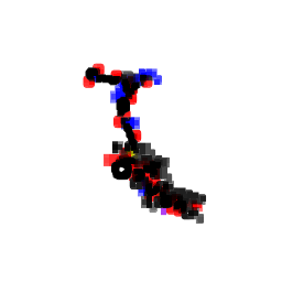 CCC(C)[C@H](NC(=O)CCCCCN1C(=O)C=CC1=O)C(=O)C[C@@H](CCCNC(N)=O)C(=O)Nc1ccc(COC(=O)NCCCC(=O)CCC(C)(C)SSC/C=C2\C3=C(CC(=O)OC)C(=O)C[C@@]2(O)C#C/C=C\C#C[C@@H]3OC2OC(C)C(NOC3CC(O)C(SC(=O)c4c(C)c(I)c(OC5OC(C)C(O)C(OC)C5O)c(C)c4OC)C(C)O3)C(O)C2OC2CC(C)C(CC(C)=O)CO2)cc1